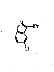 CC(C)C1=NCc2ccc(Cl)cc21